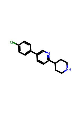 Clc1ccc(-c2ccc(C3CCNCC3)nc2)cc1